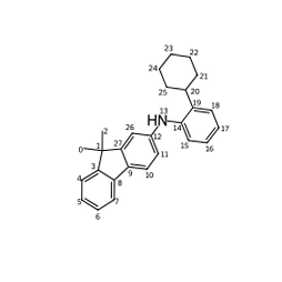 CC1(C)c2ccccc2-c2ccc(Nc3ccccc3C3CCCCC3)cc21